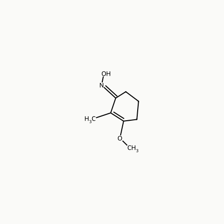 COC1=C(C)/C(=N/O)CCC1